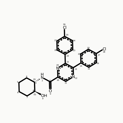 O=C(N[C@H]1CCCC[C@@H]1O)c1cnc(-c2ccc(Cl)cc2)c(-c2ccc(Cl)cc2)n1